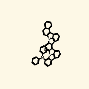 c1ccc(N(c2ccccc2)c2cccc3c4cccc5c6c7c8cccc9c%10c%11ccccc%11ccc%10n(c7cnc6n(c23)c45)c98)cc1